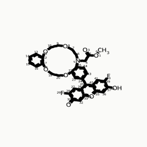 COC(=O)CN1CCOCCOc2ccccc2OCCOc2cc(-c3c4cc(F)c(=O)cc-4oc4cc(O)c(F)cc34)ccc21